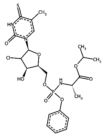 Cc1cn([C@H]2O[C@@H](COP(=O)(N[C@@H](C)C(=O)OC(C)C)Oc3ccccc3)[C@@H](O)C2Cl)c(=O)[nH]c1=S